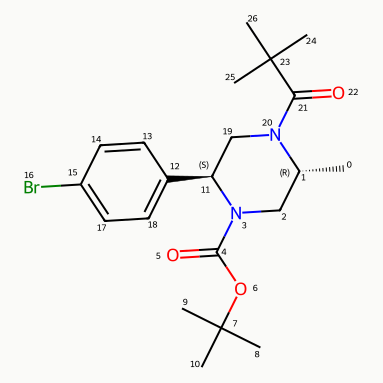 C[C@@H]1CN(C(=O)OC(C)(C)C)[C@@H](c2ccc(Br)cc2)CN1C(=O)C(C)(C)C